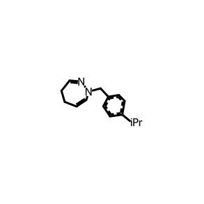 CC(C)c1ccc(CN2C=CCCC=N2)cc1